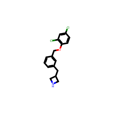 Clc1ccc(OCc2cccc(CC3CNC3)c2)c(Cl)c1